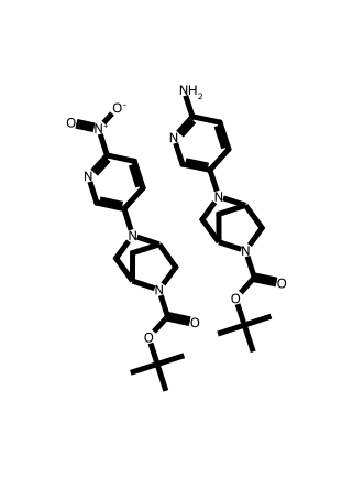 CC(C)(C)OC(=O)N1CC2CC1CN2c1ccc(N)nc1.CC(C)(C)OC(=O)N1CC2CC1CN2c1ccc([N+](=O)[O-])nc1